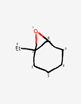 CCC12CCCC[C]1O2